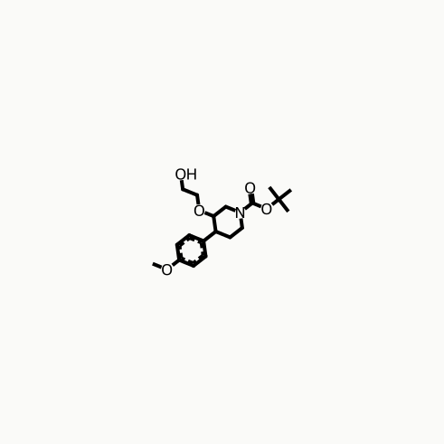 COc1ccc(C2CCN(C(=O)OC(C)(C)C)CC2OCCO)cc1